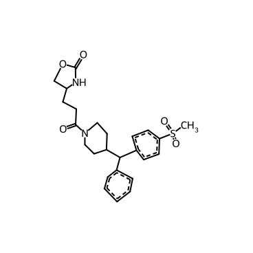 CS(=O)(=O)c1ccc(C(c2ccccc2)C2CCN(C(=O)CCC3COC(=O)N3)CC2)cc1